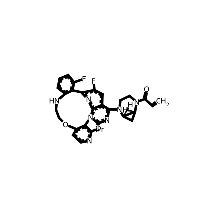 C=CC(=O)N1CCN(c2nc(=O)n3c4nc(c(F)cc24)-c2c(F)cccc2NCCOc2ccnc(C(C)C)c2-3)[C@H]2C[C@H]21